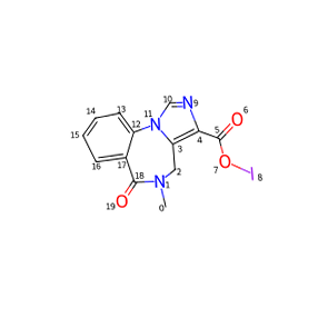 CN1Cc2c(C(=O)OI)ncn2-c2ccccc2C1=O